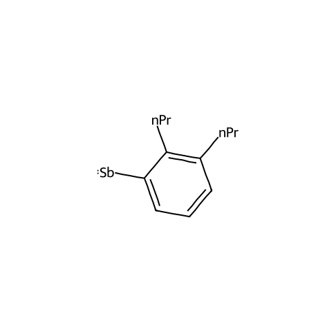 CCCc1ccc[c]([Sb])c1CCC